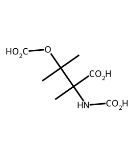 CC(C)(OC(=O)O)C(C)(NC(=O)O)C(=O)O